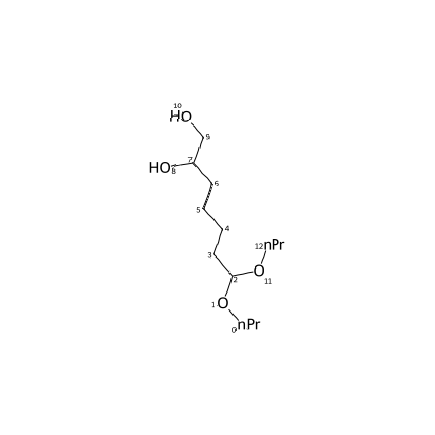 CCCOC(CCCCC(O)CO)OCCC